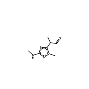 CNc1nc(C)c(C(C)C=O)s1